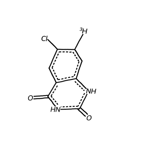 [3H]c1cc2[nH]c(=O)[nH]c(=O)c2cc1Cl